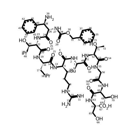 CC[C@H](C)[C@H](NC(=O)[C@@H](CCCNC(=N)N)NC(=O)[C@H](CC(C)C)NC(=O)[C@@H](NC(=O)[C@@H](NC(=O)OCc1ccccc1)[C@H](N)c1ccccc1)[C@H](O)C(C)C)C(=O)N[C@H](C(=O)NCC(=O)N[C@H](C(=O)N[C@@H](CO)C(=O)O)[C@@H](C)O)[C@H](C)O